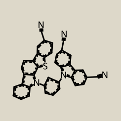 N#Cc1ccc2sc3c(ccc4c5ccccc5n(-c5cccc(-n6c7ccc(C#N)cc7c7cc(C#N)ccc76)c5)c43)c2c1